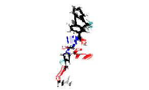 COC[C@@]1(F)C[C@@H](C(=O)O)N(C(=O)CNC(=O)c2ccc3c(c2)C(F)(F)c2ccccc2-3)C1